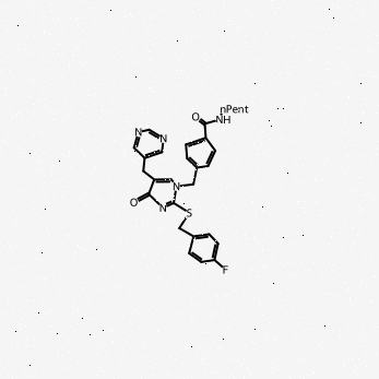 CCCCCNC(=O)c1ccc(Cn2cc(Cc3cncnc3)c(=O)nc2SCc2ccc(F)cc2)cc1